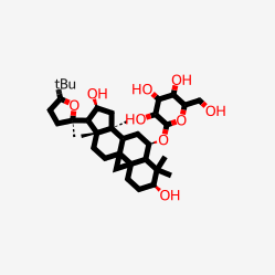 CC(C)(C)C1CC[C@](C)(C2[C@@H](O)C[C@@]3(C)C4C[C@H](OC5OC(CO)C(O)C(O)C5O)C5C(C)(C)[C@@H](O)CCC56CC46CC[C@]23C)O1